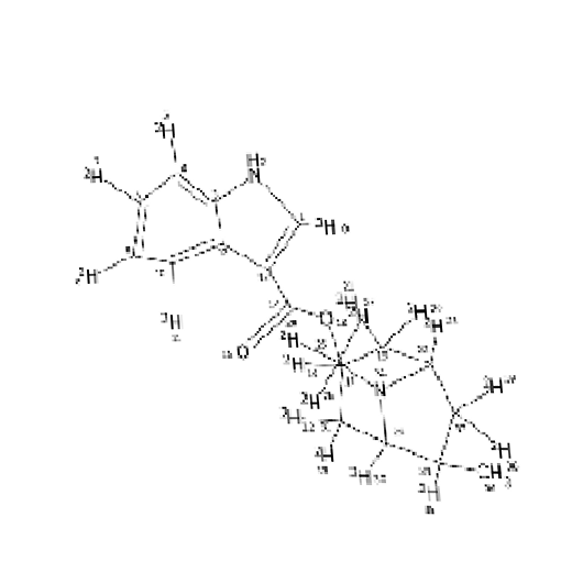 [2H]c1[nH]c2c([2H])c([2H])c([2H])c([2H])c2c1C(=O)OC1([2H])C([2H])([2H])C2([2H])N(C([2H])([2H])[2H])C([2H])(C1([2H])[2H])C([2H])(C)C2([2H])[2H]